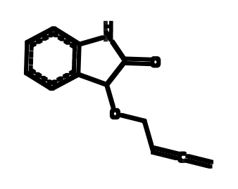 C=C=CCOC1C(=O)Nc2ccccc21